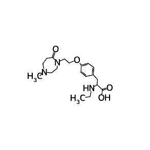 CCNC(Cc1ccc(OCCN2CCN(C)CCC2=O)cc1)C(=O)O